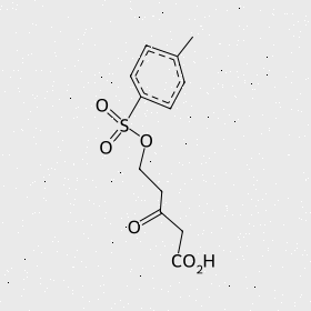 Cc1ccc(S(=O)(=O)OCCC(=O)CC(=O)O)cc1